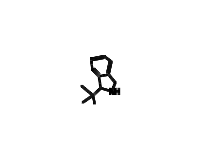 CC(C)(C)C1NCc2ccccc21